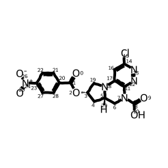 O=C(O[C@H]1C[C@H]2CN(C(=O)O)c3nnc(Cl)cc3N2C1)c1ccc([N+](=O)[O-])cc1